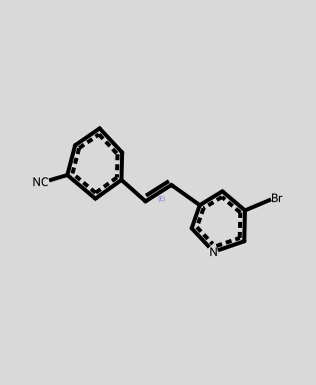 N#Cc1cccc(/C=C/c2cncc(Br)c2)c1